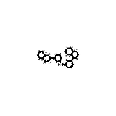 c1cc(Nc2cccc(-c3cccc4ccccc34)c2)cc(-c2ccc3ccccc3c2)c1